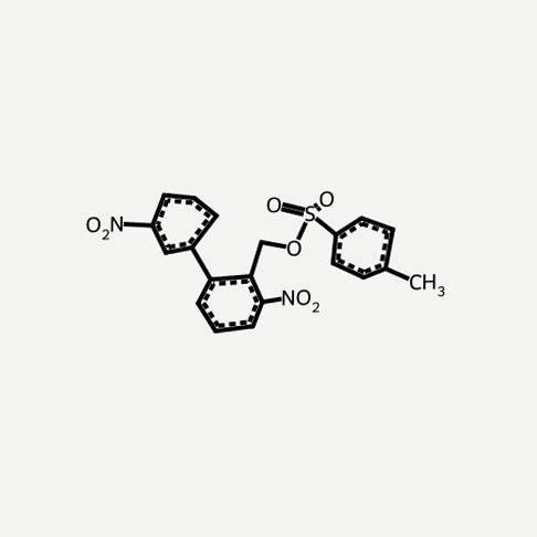 Cc1ccc(S(=O)(=O)OCc2c(-c3cccc([N+](=O)[O-])c3)cccc2[N+](=O)[O-])cc1